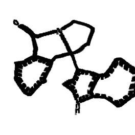 O=C1c2ccccc2C2(c3c[nH]c4ccccc34)CCCN12